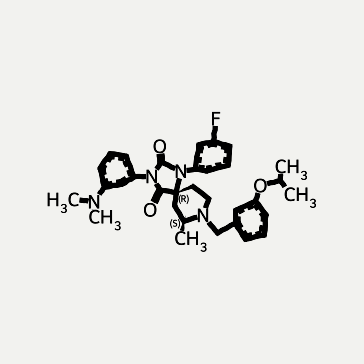 CC(C)Oc1cccc(CN2CC[C@@]3(C[C@@H]2C)C(=O)N(c2cccc(N(C)C)c2)C(=O)N3c2cccc(F)c2)c1